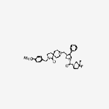 COc1ccc(CN2CCC3(CCN(CC4CN(C(=O)N5CCC(F)(F)C5)CC4c4ccccc4)CC3)C2=O)cc1